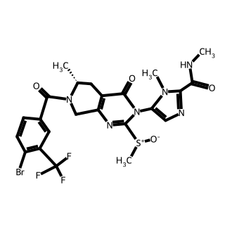 CNC(=O)c1ncc(-n2c([S+](C)[O-])nc3c(c2=O)C[C@@H](C)N(C(=O)c2ccc(Br)c(C(F)(F)F)c2)C3)n1C